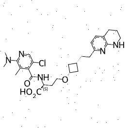 Cc1c(N(C)C)ncc(Cl)c1C(=O)N[C@@H](CCO[C@H]1C[C@@H](CCc2ccc3c(n2)NCCC3)C1)C(=O)O